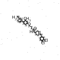 Cc1cc(OCCCC(=O)NC2CCN(Cc3ccc(Cl)c(Cl)c3)CC2)ccc1-c1csc(N)n1